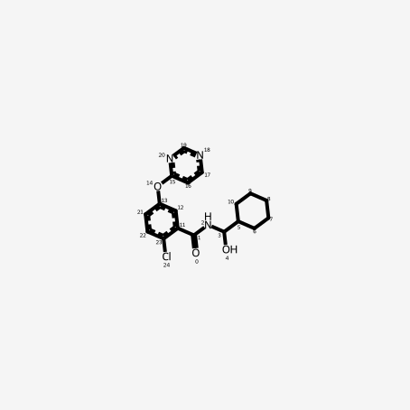 O=C(NC(O)C1CCCCC1)c1cc(Oc2ccncn2)ccc1Cl